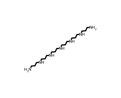 NCCCNCCCNCCCNCCCNCCCNCCCN